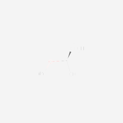 CC(C)O[C@H](C)C(=O)O